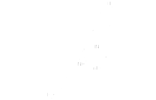 C=Cc1ccc(CNC(=O)C(CCC)C(=O)NCc2cccc(C=C)c2)cc1